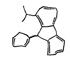 CC(C)c1cccc2c1C(C1=CC=CC1)c1ccccc1-2